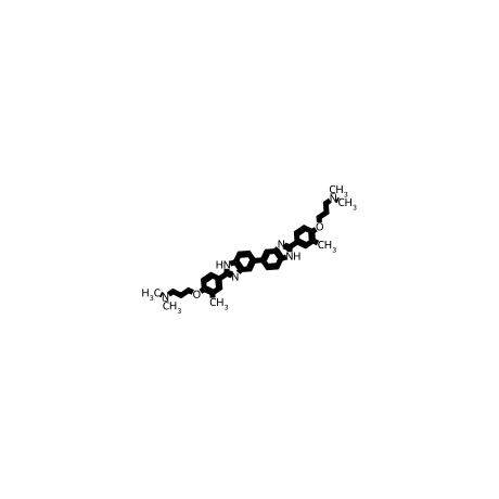 Cc1cc(-c2nc3cc(-c4ccc5[nH]c(-c6ccc(OCCCN(C)C)c(C)c6)nc5c4)ccc3[nH]2)ccc1OCCCN(C)C